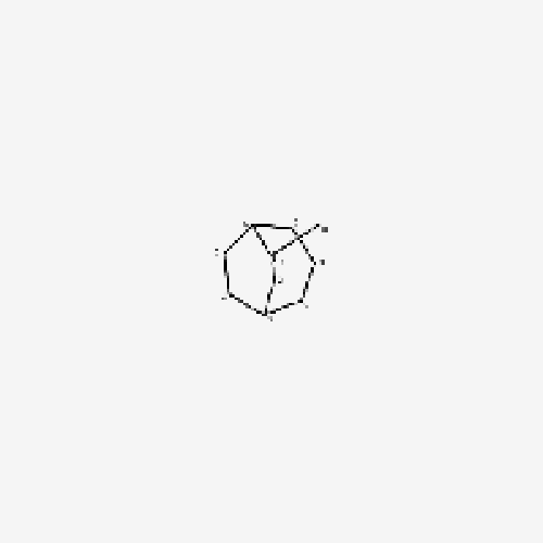 CN1CC2[CH]CC1CCC2